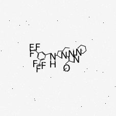 CCC1C[C@H](NCc2cc(C(F)(F)F)cc(C(F)(F)F)c2)CN1c1nc(N2CCCCC2)ncc1COC